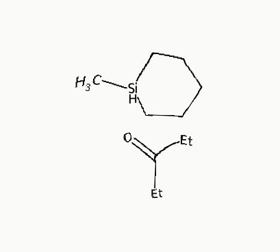 CCC(=O)CC.C[SiH]1CCCCC1